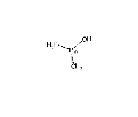 C[P@@](O)P